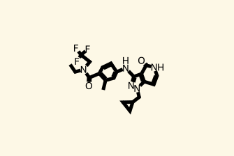 CCN(CC(F)(F)F)C(=O)c1ccc(Nc2nn(CC3CC3)c3cc[nH]c(=O)c23)cc1C